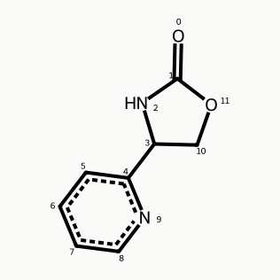 O=C1NC(c2ccccn2)CO1